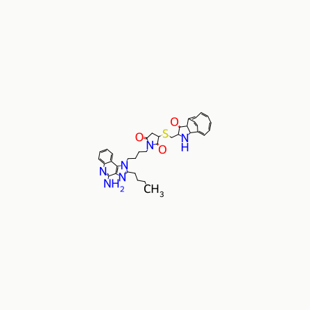 CCCCc1nc2c(N)nc3ccccc3c2n1CCCCN1C(=O)CC(SCC2NC3/C4=C/C=C\C=C/C=C(C=C4)/C3C2=O)C1=O